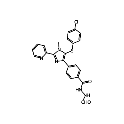 Cn1c(-c2ccccn2)nc(-c2ccc(C(=O)NNC=O)cc2)c1Sc1ccc(Cl)cc1